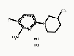 Cl.Cl.Nc1ccc(N2CCCC(C(=O)O)C2)nc1N